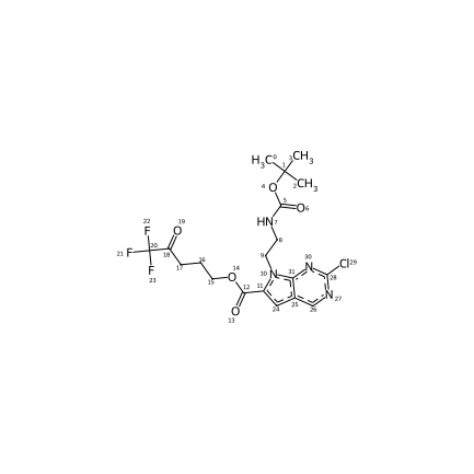 CC(C)(C)OC(=O)NCCn1c(C(=O)OCCCC(=O)C(F)(F)F)cc2cnc(Cl)nc21